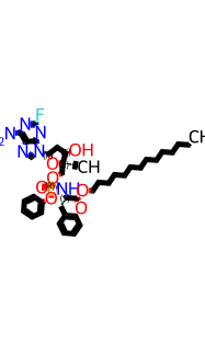 C#C[C@]1(CO[P@](=O)(N[C@@H](Cc2ccccc2)C(=O)OCCCCCCCCCCCCCC)Oc2ccccc2)O[C@@H](n2cnc3c(N)nc(F)nc32)C[C@@H]1O